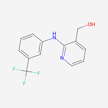 OCc1cccnc1Nc1cccc(C(F)(F)F)c1